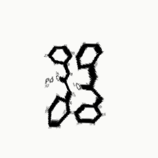 O=C(C=C1C=CC=CC1)C=C1C=CC=CC1.O=C(C=C1C=CC=CC1)C=C1C=CC=CC1.[Pd]